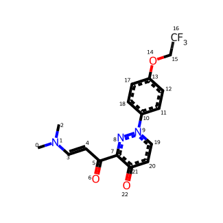 CN(C)C=CC(=O)c1nn(-c2ccc(OCC(F)(F)F)cc2)ccc1=O